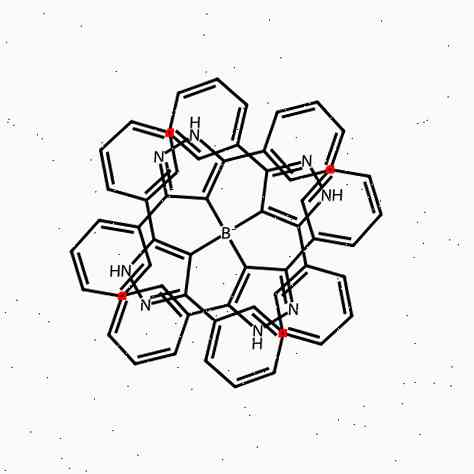 c1ccc(-c2n[nH]c(-c3ccccc3)c2[B-](c2c(-c3ccccc3)n[nH]c2-c2ccccc2)(c2c(-c3ccccc3)n[nH]c2-c2ccccc2)c2c(-c3ccccc3)n[nH]c2-c2ccccc2)cc1